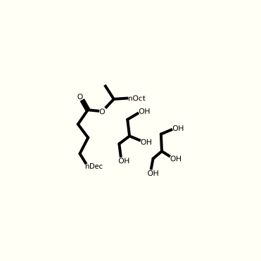 CCCCCCCCCCCCCC(=O)OC(C)CCCCCCCC.OCC(O)CO.OCC(O)CO